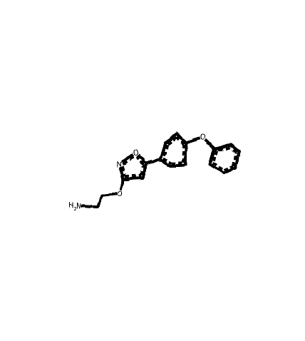 NCCOc1cc(-c2ccc(Oc3ccccc3)cc2)on1